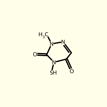 Cn1ncc(=O)n(S)c1=O